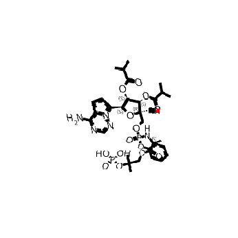 CC(C)C(=O)O[C@H]1[C@H](c2ccc3c(N)ncnn23)O[C@](C#N)(COP(=O)(N[C@@H](C)C(=O)OCC(C)(C)OP(=O)(O)O)Oc2ccccc2)[C@H]1OC(=O)C(C)C